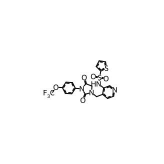 O=C1CN(Cc2ccncc2NS(=O)(=O)c2cccs2)C(=O)N1c1ccc(OC(F)(F)F)cc1